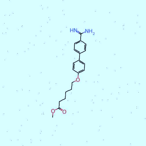 COC(=O)CCCCCOc1ccc(-c2ccc(C(=N)N)cc2)cc1